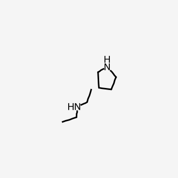 C1CCNC1.CCNCC